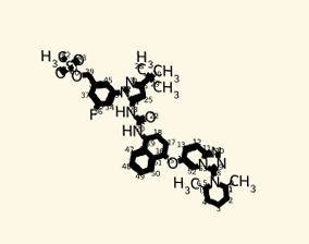 C[C@@H]1CCC[C@H](C)N1c1nnc2ccc(OC3CCC(NC(=O)Nc4cc(C(C)(C)C)nn4-c4cc(F)cc(COS(C)(=O)=O)c4)c4ccccc43)cn12